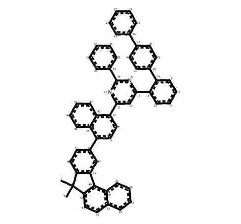 CC1(C)c2ccc(-c3ccc(-c4cc(-c5ccccc5-c5ccc(-c6ccccc6)cc5)nc(-c5ccccc5)n4)c4ccccc34)cc2-c2c1ccc1ccccc21